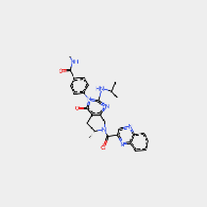 CNC(=O)c1ccc(-n2c(NC(C)C)nc3c(c2=O)C[C@@H](C)N(C(=O)c2cnc4ccccc4n2)C3)cc1